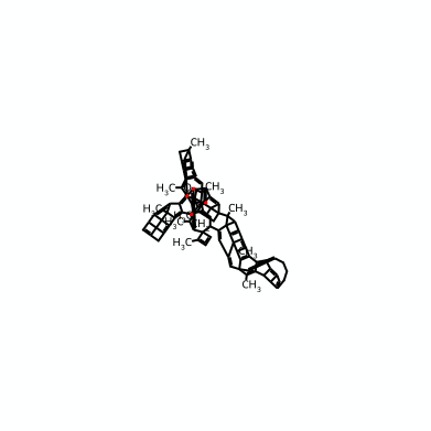 C=C1C2=C=C3C4=C5C6(C7(C)C8C9=C%10C%11%12C(=CC%13%14C=C%15CCCC%16=CC%17=C%18C%15=C(C%15=C%13C%11(C)C%15=C9%12)C(=C%14C)C%18C%16%17)C=C(C9C=C%11C%12=C%13C%11C%11(C)C=c%14c%15c%16c%17c=%15c%14=C(C)C%13(CC%16(C)C%17)C%11=C(C%12C)C9%11C=C=C%11C)C%1087)CC7=C(C)C4(C24C(=C2C1=C1C8=C9CC%10=CC%11C%12=C2C1(C)C8%12C%109%11)OC34)C756